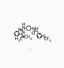 CN(C)c1nc(N[C@H]2CC[C@@H](NC(=O)Cc3cccc(SC(F)(F)F)c3)CC2)nc2ccccc12